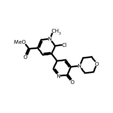 COC(=O)C1=CN(C)C(Cl)C(C2C=NC(=O)C(N3CCOCC3)=C2)=C1